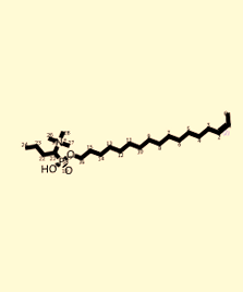 C/C=C\CCCCCCCCCCCCCCOP(=O)(O)C(CCC)[N+](C)(C)C